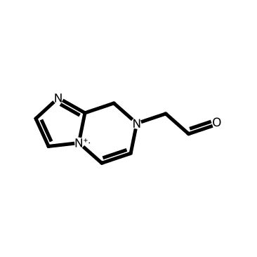 O=CCN1C=C[N+]2C=CN=C2C1